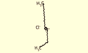 CCCCCCCC/C=C\CCCCCCCC[n+]1ccc(CCCCCCCCCCCCCCCCCCC)cc1.[Cl-]